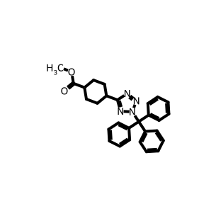 COC(=O)C1CCC(c2nnn(C(c3ccccc3)(c3ccccc3)c3ccccc3)n2)CC1